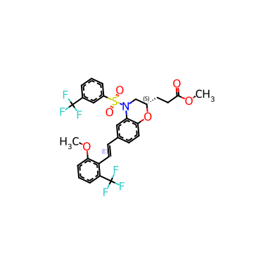 COC(=O)CC[C@H]1CN(S(=O)(=O)c2cccc(C(F)(F)F)c2)c2cc(/C=C/c3c(OC)cccc3C(F)(F)F)ccc2O1